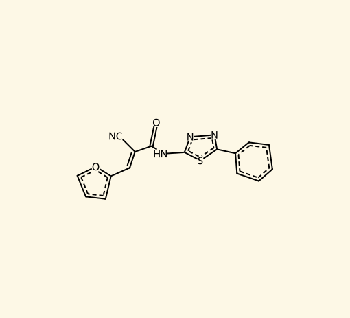 N#CC(=Cc1ccco1)C(=O)Nc1nnc(-c2ccccc2)s1